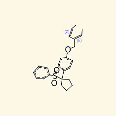 C/C=C\C(=C/C)COc1ccc(C2(S(=O)(=O)c3ccccc3)CCCC2)cc1